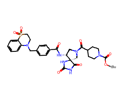 CC(C)(C)OC(=O)N1CCC(C(=O)N2C[C@@H](NC(=O)c3ccc(CN4CCS(=O)(=O)c5ccccc54)cc3)[C@]3(C2)NC(=O)NC3=O)CC1